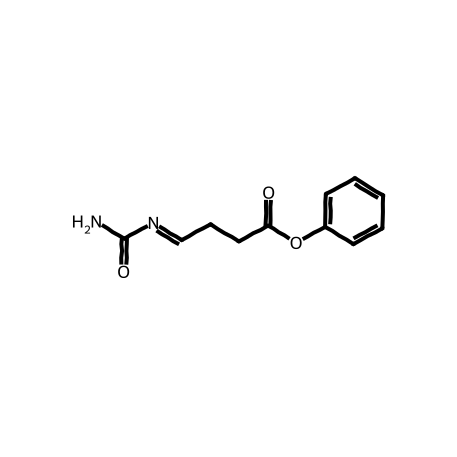 NC(=O)N=CCCC(=O)Oc1ccccc1